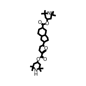 CC1(C)CC(OC(=O)C2=COC(C3CCC4CC(C(=O)OC5CC(C)(C)NC(C)(C)C5)CCC4C3)CC2)CC(C)(C)N1